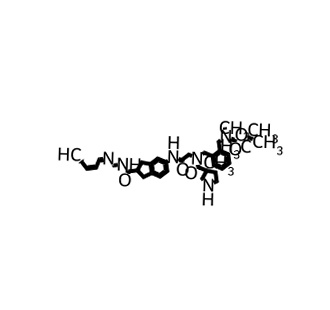 C#C/C=C\C=N/CNC(=O)C1Cc2ccc(NC(=O)CN(Cc3ccccc3CN(C)C(=O)OC(C)(C)C)C(=O)C3(C)CCNC3)cc2C1